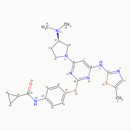 Cc1cnc(Nc2cc(N3CC[C@@H](N(C)C)C3)nc(Sc3ccc(NC(=O)C4CC4)cc3)n2)s1